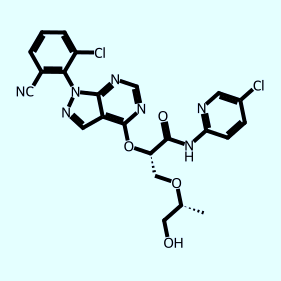 C[C@H](CO)OC[C@H](Oc1ncnc2c1cnn2-c1c(Cl)cccc1C#N)C(=O)Nc1ccc(Cl)cn1